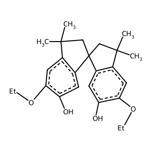 CCOc1cc2c(cc1O)C1(CC2(C)C)CC(C)(C)c2cc(OCC)c(O)cc21